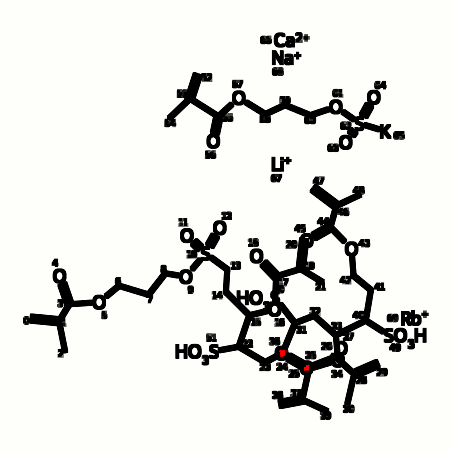 C=C(C)C(=O)OCCCOS(=O)(=O)CCC(OC(=O)C(=C)C)C(CC(OC(=O)C(=C)C)C(CC(OC(=O)C(=C)C)C(CCOC(=O)C(=C)C)S(=O)(=O)O)S(=O)(=O)O)S(=O)(=O)O.C=C(C)C(=O)OCCCO[S](=O)(=O)[K].[Ca+2].[Li+].[Na+].[Rb+]